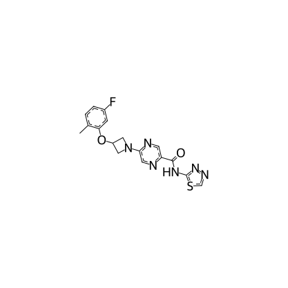 Cc1ccc(F)cc1OC1CN(c2cnc(C(=O)Nc3nncs3)cn2)C1